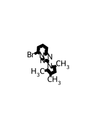 Cc1cc(C)n(-c2nc3cccc(Br)n3n2)c1C